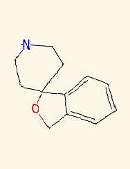 c1ccc2c(c1)COC21CC[N]CC1